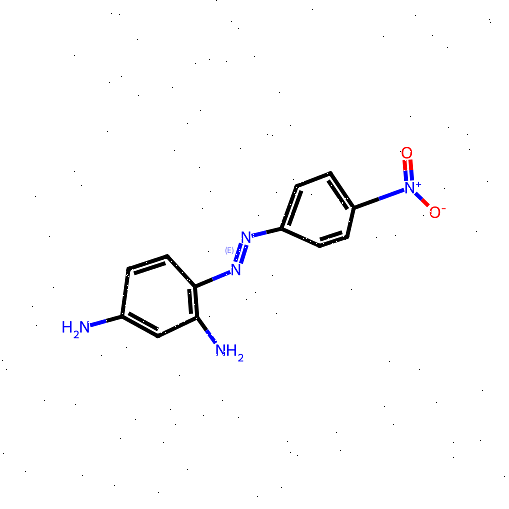 Nc1ccc(/N=N/c2ccc([N+](=O)[O-])cc2)c(N)c1